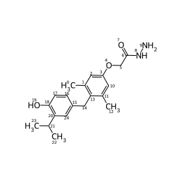 Cc1cc(OCC(=O)NN)cc(C)c1Cc1ccc(O)c(C(C)C)c1